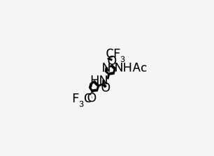 CC(=O)Nc1cc(CNC(=O)c2cccc(OC(F)(F)F)c2)cnc1OCC(F)(F)F